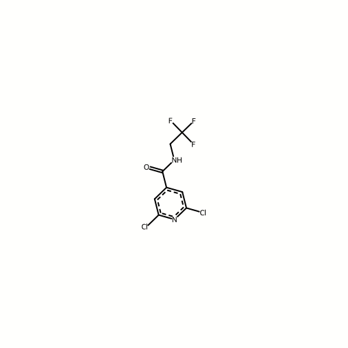 O=C(NCC(F)(F)F)c1cc(Cl)nc(Cl)c1